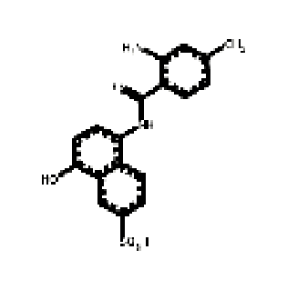 Cc1ccc(C(=O)Nc2ccc(O)c3cc(S(=O)(=O)O)ccc23)c(N)c1